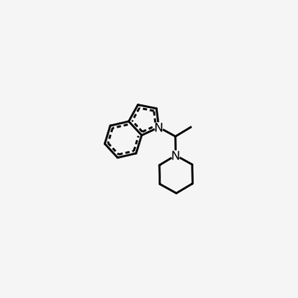 CC(N1CCCCC1)n1ccc2ccccc21